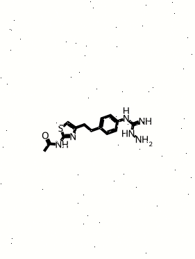 CC(=O)Nc1nc(CCc2ccc(NC(=N)NN)cc2)cs1